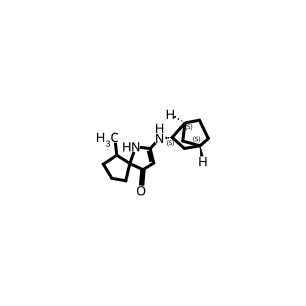 CC1CCCC12NC(N[C@H]1C[C@H]3CC[C@H]1C3)=CC2=O